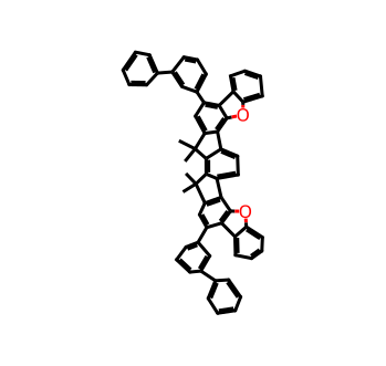 CC1(C)c2cc(-c3cccc(-c4ccccc4)c3)c3c(oc4ccccc43)c2-c2ccc3c(c21)C(C)(C)c1cc(-c2cccc(-c4ccccc4)c2)c2c(oc4ccccc42)c1-3